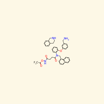 NCc1cccc(Oc2ccccc2N(Cc2cccc3ccccc23)C(=O)CCC(=O)NOC(=O)C(F)(F)F)c1.c1ccc2c(c1)CCNC2